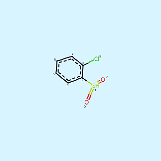 O=[SH](=O)c1cc[c]cc1Cl